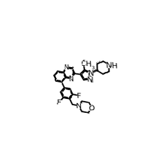 Cc1c(-c2cnc3cccc(-c4cc(F)c(CN5CCOCC5)c(F)c4)c3n2)cnn1C1CCNCC1